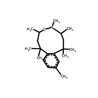 Cc1ccc2c(c1)C(C)(C)CC(C)N(C)CC(C)CC2(C)C